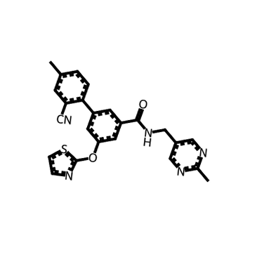 Cc1ccc(-c2cc(Oc3nccs3)cc(C(=O)NCc3cnc(C)nc3)c2)c(C#N)c1